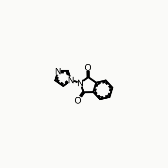 O=C1c2ccccc2C(=O)N1n1ccnc1